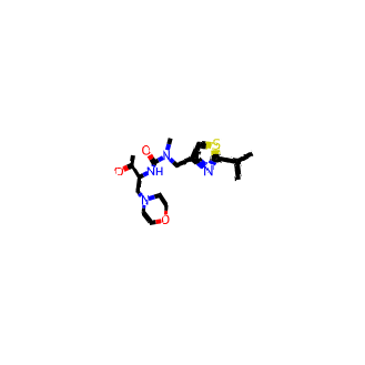 CC(=O)C(CN1CCOCC1)NC(=O)N(C)Cc1csc(C(C)C)n1